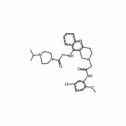 COc1ccc(Cl)cc1NC(=O)CN1CCc2nc3ccccc3c(NCC(=O)N3CCN(C(C)C)CC3)c2C1